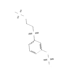 O=S(=O)(O)Nc1cccc(S(=O)(=O)CCOS(=O)(=O)O)c1